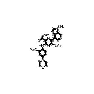 CNc1nc(Nc2ccc(N3CCOCC3)cc2OC)c(C(=O)OC)nc1-c1cncc2c1ncn2C